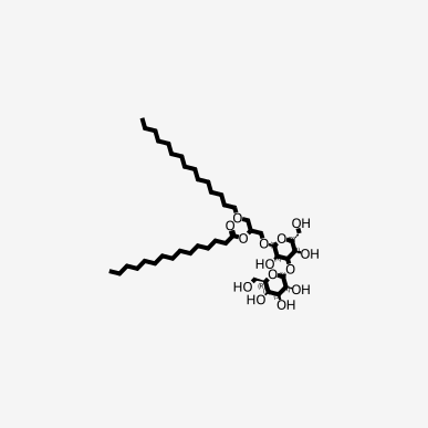 CCCCCCCCCCCCCCCOCC(CO[C@H]1O[C@H](CO)[C@@H](O)C(O[C@H]2O[C@H](CO)[C@@H](O)[C@H](O)[C@H]2O)[C@H]1O)OC(=O)CCCCCCCCCCCCCC